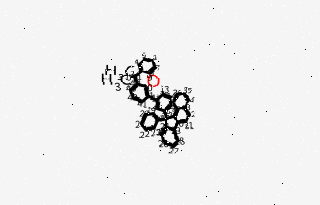 CC1(C)c2ccccc2Oc2c(-c3cccc(C4(c5ccccc5)c5ccccc5-c5ccc6ccccc6c54)c3)cccc21